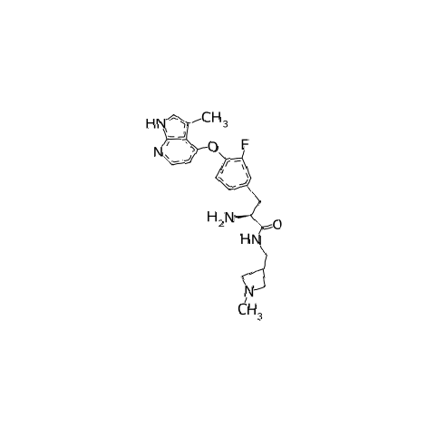 Cc1c[nH]c2nccc(Oc3ccc(C[C@H](N)C(=O)NCC4CN(C)C4)cc3F)c12